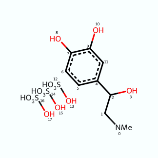 CNCC(O)c1ccc(O)c(O)c1.O=S(=O)(O)O.O=S(=O)(O)O.O=S(=O)(O)O